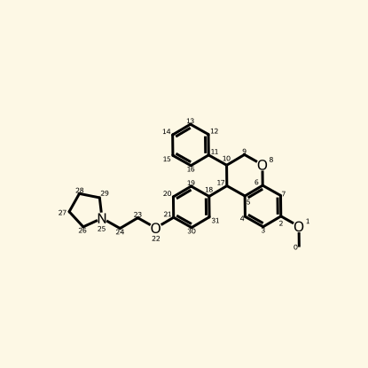 COc1ccc2c(c1)OCC(c1ccccc1)C2c1ccc(OCCN2CCCC2)cc1